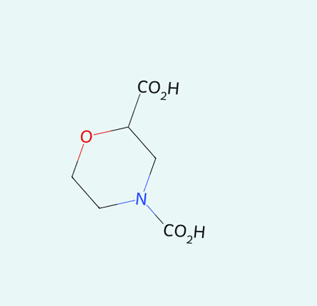 O=C(O)C1CN(C(=O)O)CCO1